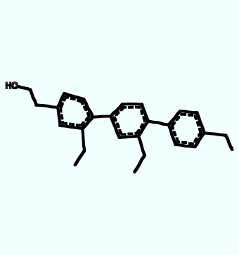 CCc1ccc(-c2ccc(-c3ccc(CCO)cc3CC)cc2CC)cc1